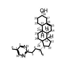 Cc1cnc(CCC(C)[C@H]2CC[C@H]3[C@@H]4CC=C5C[C@@H](O)CC[C@]5(C)[C@H]4CC[C@]23C)nc1